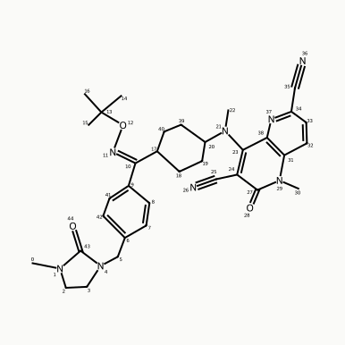 CN1CCN(Cc2ccc(/C(=N/OC(C)(C)C)C3CCC(N(C)c4c(C#N)c(=O)n(C)c5ccc(C#N)nc45)CC3)cc2)C1=O